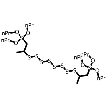 CCCO[Si](CC(C)SSSSSSSSC(C)C[Si](OCCC)(OCCC)OCCC)(OCCC)OCCC